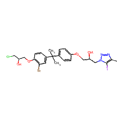 CC(C)(c1ccc(OC[C@@H](O)Cn2nnc(CO)c2I)cc1)c1ccc(OC[C@@H](O)CCl)c(Br)c1